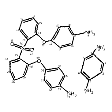 Nc1ccc(N)cc1.Nc1ccc(Oc2ccccc2S(=O)(=O)c2ccccc2Oc2ccc(N)cc2)cc1